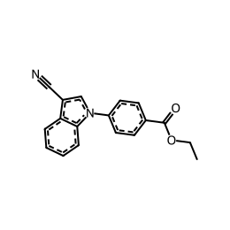 CCOC(=O)c1ccc(-n2cc(C#N)c3ccccc32)cc1